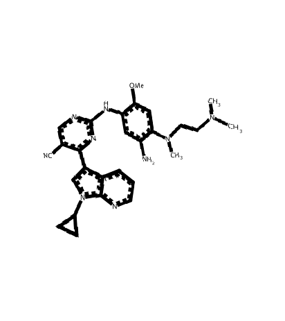 COc1cc(N(C)CCN(C)C)c(N)cc1Nc1ncc(C#N)c(-c2cn(C3CC3)c3ncccc23)n1